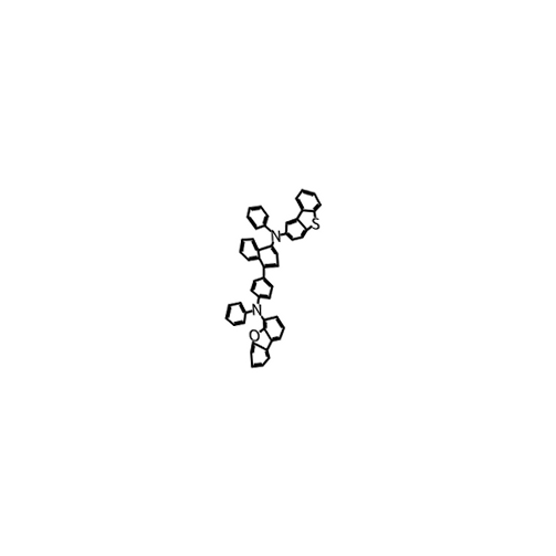 c1ccc(N(c2ccc3sc4ccccc4c3c2)c2ccc(-c3ccc(N(c4ccccc4)c4cccc5c4oc4ccccc45)cc3)c3ccccc23)cc1